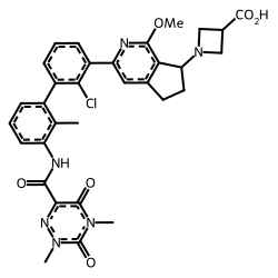 COc1nc(-c2cccc(-c3cccc(NC(=O)c4nn(C)c(=O)n(C)c4=O)c3C)c2Cl)cc2c1C(N1CC(C(=O)O)C1)CC2